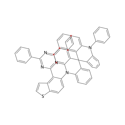 c1ccc(-c2nc(-c3ccccc3)nc(-c3c(N4c5ccccc5C5(c6ccccc6N(c6ccccc6)c6ccccc65)c5ccccc54)ccc4sccc34)n2)cc1